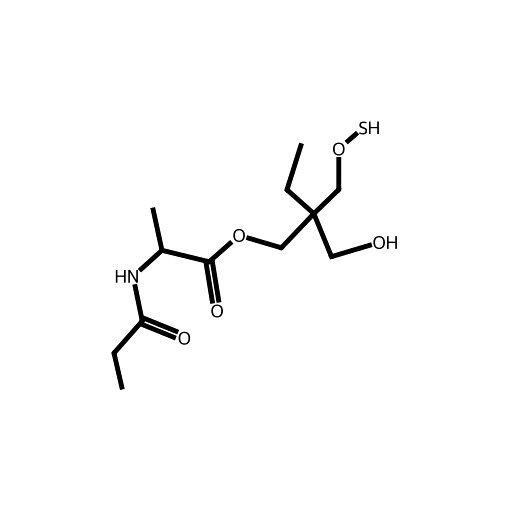 CCC(=O)NC(C)C(=O)OCC(CC)(CO)COS